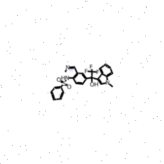 C/N=C\c1cc(C(O)(c2cn(C)c3ccccc23)C(F)(F)F)ccc1NS(=O)(=O)c1ccccc1